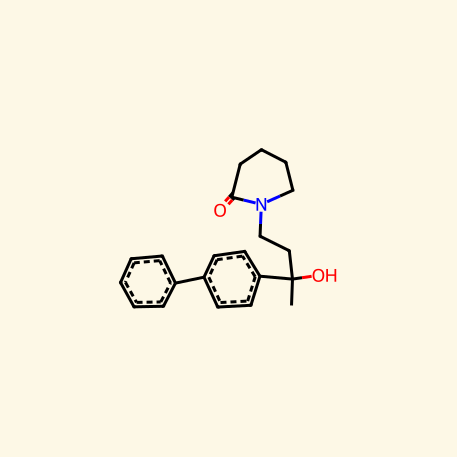 CC(O)(CCN1CCCCC1=O)c1ccc(-c2ccccc2)cc1